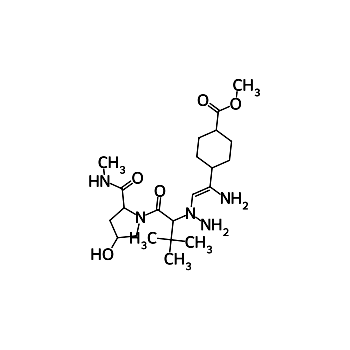 CNC(=O)C1CC(O)CN1C(=O)C(N(N)/C=C(\N)C1CCC(C(=O)OC)CC1)C(C)(C)C